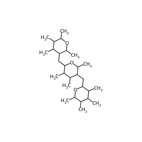 CC1OC(CC2C(C)OC(CC3C(C)OC(C)C(C)C3C)C(C)C2C)C(C)C(C)C1C